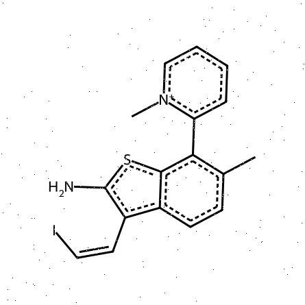 Cc1ccc2c(/C=C\I)c(N)sc2c1-c1cccc[n+]1C